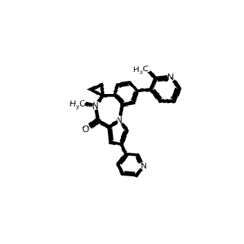 Cc1ncccc1-c1ccc2c(c1)-n1cc(-c3cccnc3)cc1C(=O)N(C)C21CC1